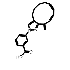 C=C1/C=C\C=C/CCCCc2cn(-c3cccc(C(=O)O)c3)nc21